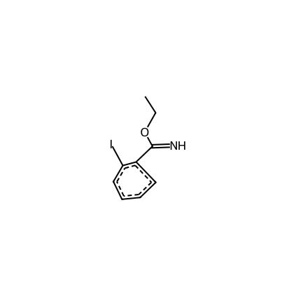 CCOC(=N)c1ccccc1I